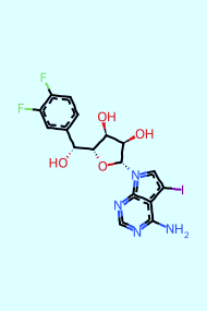 Nc1ncnc2c1c(I)cn2[C@@H]1O[C@H]([C@H](O)c2ccc(F)c(F)c2)[C@@H](O)[C@H]1O